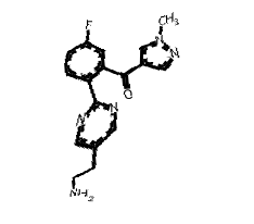 Cn1cc(C(=O)c2cc(F)ccc2-c2ncc(CCN)cn2)cn1